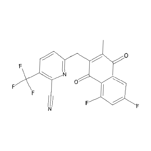 CC1=C(Cc2ccc(C(F)(F)F)c(C#N)n2)C(=O)c2c(F)cc(F)cc2C1=O